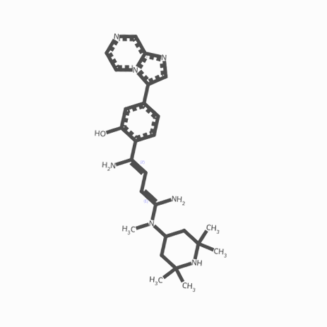 CN(/C(N)=C/C=C(\N)c1ccc(-c2cnc3cnccn23)cc1O)C1CC(C)(C)NC(C)(C)C1